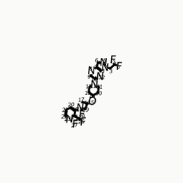 FC(F)Cn1ncc2ncc(N3CCC(OC4CN(c5cccnc5C(F)(F)F)C4)CC3)nc21